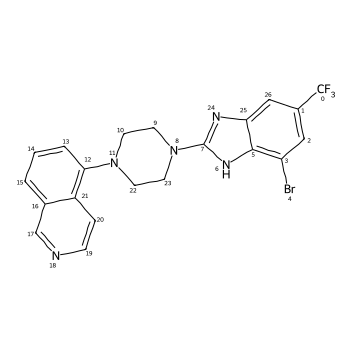 FC(F)(F)c1cc(Br)c2[nH]c(N3CCN(c4cccc5cnccc45)CC3)nc2c1